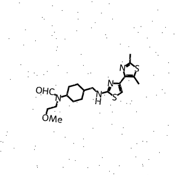 COCCN(C=O)C1CCC(CNc2nc(-c3nc(C)sc3C)cs2)CC1